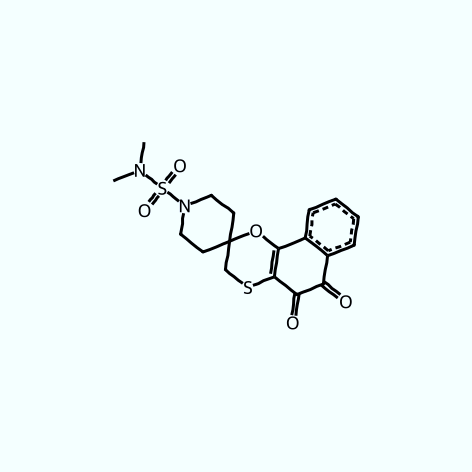 CN(C)S(=O)(=O)N1CCC2(CC1)CSC1=C(O2)c2ccccc2C(=O)C1=O